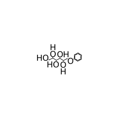 OC[C@@H](O)[C@@H](O)[C@H](O)[C@@H](O)COc1ccccc1